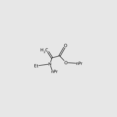 C=C(C(=O)OCCC)N(CC)CCC